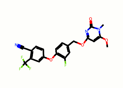 COc1cc(OCc2ccc(Oc3ccc(C#N)c(C(F)(F)F)c3)c(F)c2)nc(=O)n1C